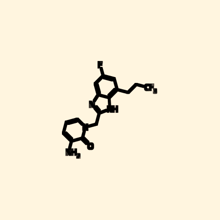 Nc1cccn(Cc2nc3cc(F)cc(CCC(F)(F)F)c3[nH]2)c1=O